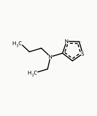 CCCN(CC)c1cs[c]n1